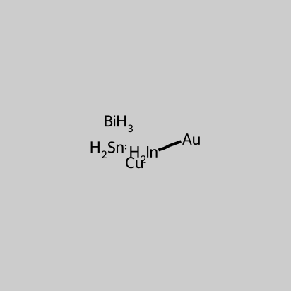 [BiH3].[Cu].[InH2][Au].[SnH2]